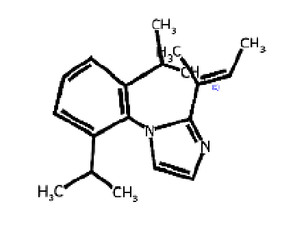 C/C=C(\C)c1nccn1-c1c(C(C)C)cccc1C(C)C